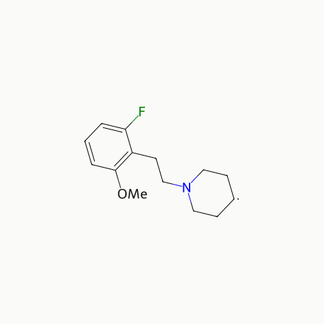 COc1cccc(F)c1CCN1CC[CH]CC1